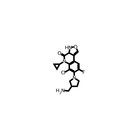 NCC1CCN(c2c(F)cc3c(c2Cl)N(C2CC2)C(=O)C2NOC=C32)C1